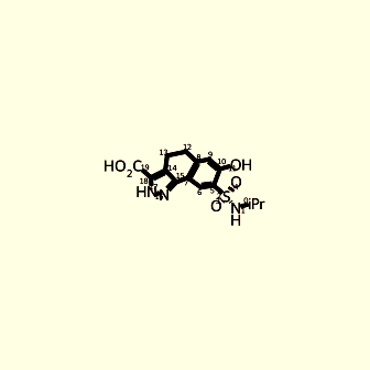 CC(C)NS(=O)(=O)c1cc2c(cc1O)CCc1c-2n[nH]c1C(=O)O